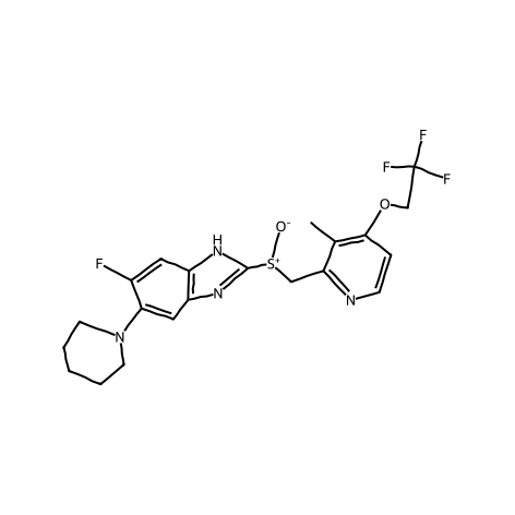 Cc1c(OCC(F)(F)F)ccnc1C[S+]([O-])c1nc2cc(N3CCCCC3)c(F)cc2[nH]1